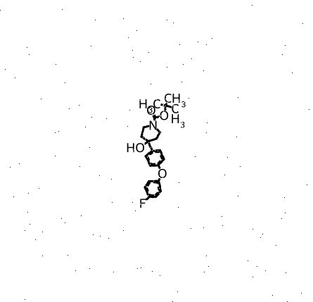 CC(C)(C)OC(=O)N1CCC(O)(c2ccc(Oc3ccc(F)cc3)cc2)CC1